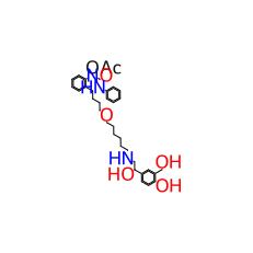 CC(=O)ON(C(=O)Nc1ccccc1)c1ccccc1CCCCOCCCCCCNC[C@@H](O)c1ccc(O)c(CO)c1